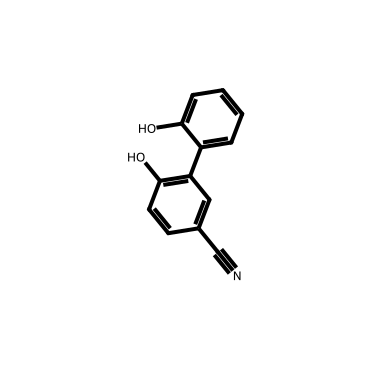 N#Cc1ccc(O)c(-c2ccccc2O)c1